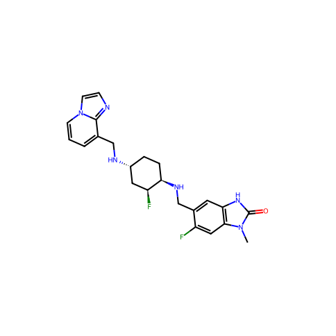 Cn1c(=O)[nH]c2cc(CN[C@@H]3CC[C@@H](NCc4cccn5ccnc45)C[C@@H]3F)c(F)cc21